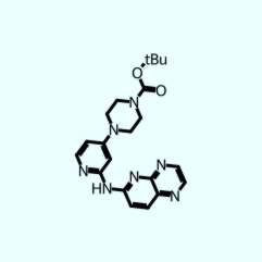 CC(C)(C)OC(=O)N1CCN(c2ccnc(Nc3ccc4nccnc4n3)c2)CC1